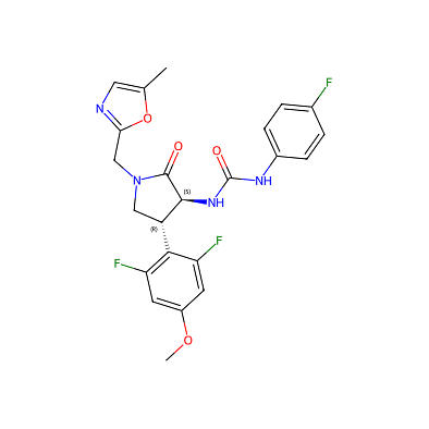 COc1cc(F)c([C@@H]2CN(Cc3ncc(C)o3)C(=O)[C@H]2NC(=O)Nc2ccc(F)cc2)c(F)c1